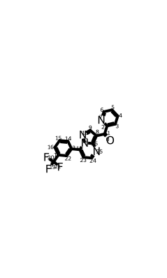 O=C(c1ccccn1)c1cnn2c(-c3cccc(C(F)(F)F)c3)ccnc12